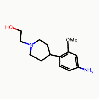 COc1cc(N)ccc1C1CCN(CCO)CC1